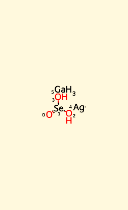 O=[Se](O)O.[Ag].[GaH3]